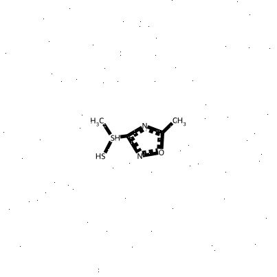 Cc1nc([SH](C)S)no1